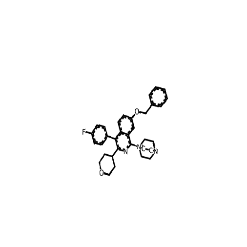 Fc1ccc(-c2c(C3CCOCC3)nc([N+]34CCN(CC3)CC4)c3cc(OCc4ccccc4)ccc23)cc1